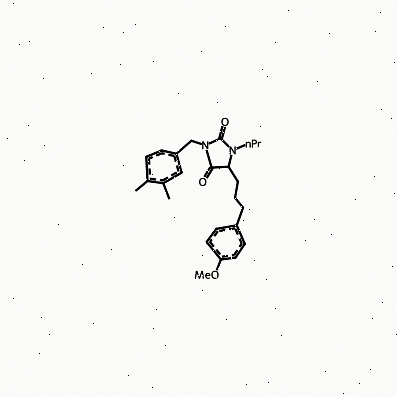 CCCN1C(=O)N(Cc2ccc(C)c(C)c2)C(=O)C1CCCc1ccc(OC)cc1